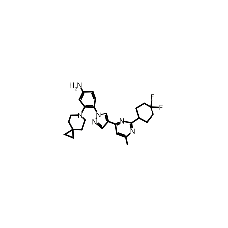 Cc1cc(-c2cnn(-c3ccc(N)cc3N3CCC4(CC3)CC4)c2)nc(C2CCC(F)(F)CC2)n1